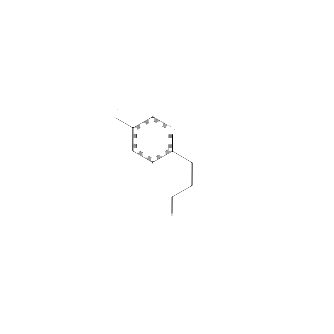 C[C@H](CO)Cc1ccc(Cl)cn1